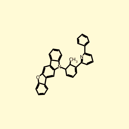 CC1C(c2cccc(-c3ccccc3)n2)=CC=CC1n1c2ccccc2c2cc3oc4ccccc4c3cc21